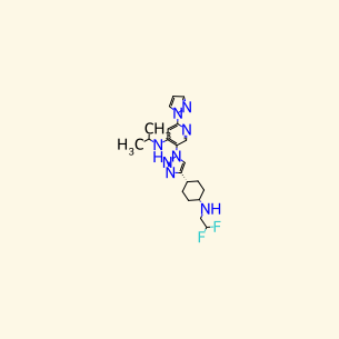 CC(C)Nc1cc(-n2cccn2)ncc1-n1cc([C@H]2CC[C@@H](NCC(F)F)CC2)nn1